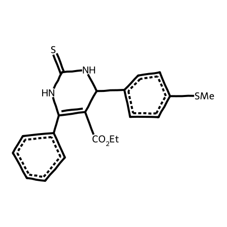 CCOC(=O)C1=C(c2ccccc2)NC(=S)NC1c1ccc(SC)cc1